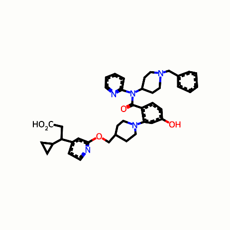 O=C(O)CC(c1ccnc(OCC2CCN(c3cc(O)ccc3C(=O)N(c3ccccn3)C3CCN(Cc4ccccc4)CC3)CC2)c1)C1CC1